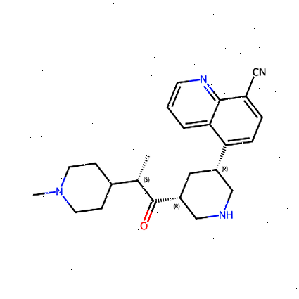 C[C@H](C(=O)[C@H]1CNC[C@@H](c2ccc(C#N)c3ncccc23)C1)C1CCN(C)CC1